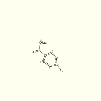 COC(=O)c1ccc(F)cn1